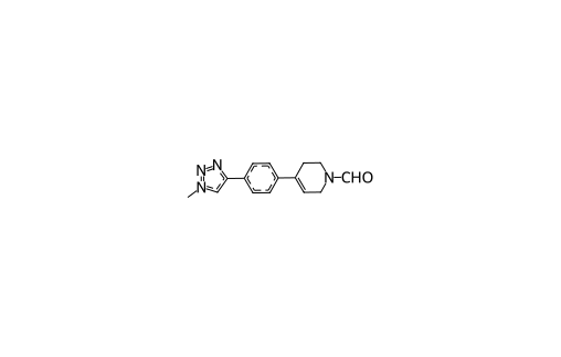 Cn1cc(-c2ccc(C3=CCN(C=O)CC3)cc2)nn1